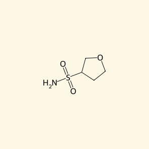 NS(=O)(=O)C1CCOC1